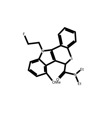 CCN(CC)C(=O)C1Sc2ccccc2-c2c1c1c(OC)cccc1n2CCF